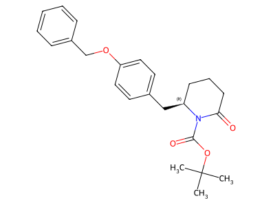 CC(C)(C)OC(=O)N1C(=O)CCC[C@@H]1Cc1ccc(OCc2ccccc2)cc1